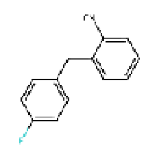 [C-]#[N+]c1ccccc1Cc1ccc(F)cc1